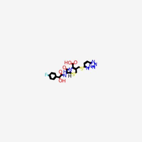 O=C(O)C1=C(CSc2ccc3nnnn3n2)CS[C@H]2C(NC(=O)C(O)c3ccc(F)cc3)C(=O)N12